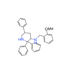 COc1ccccc1CNC1CC(c2ccccc2)CNC1(c1ccccc1)c1ccccc1